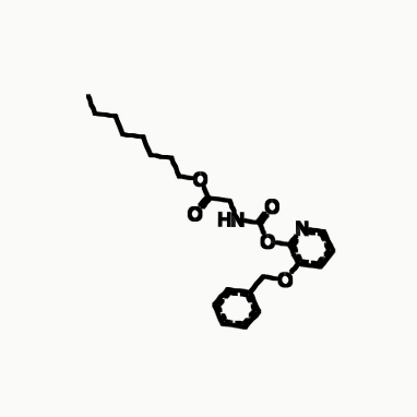 CCCCCCCCOC(=O)CNC(=O)Oc1ncccc1OCc1ccccc1